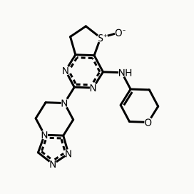 [O-][S+]1CCc2nc(N3CCn4cnnc4C3)nc(NC3=CCOCC3)c21